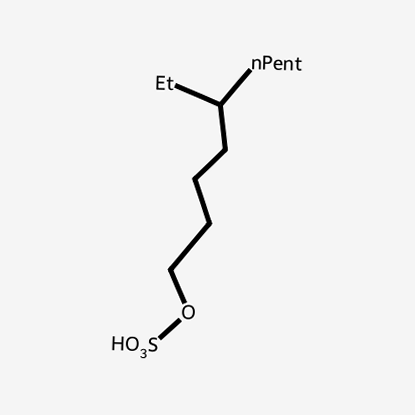 CCCCCC(CC)CCCCOS(=O)(=O)O